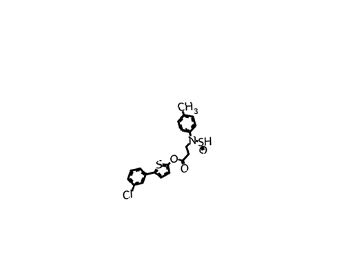 Cc1ccc(N(CCC(=O)Oc2ccc(-c3cccc(Cl)c3)s2)[SH]=O)cc1